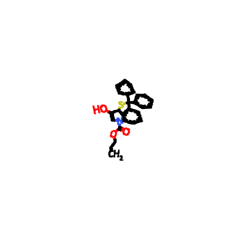 C=CCOC(=O)N1C=C(O)C(SC(c2ccccc2)(c2ccccc2)c2ccccc2)C1